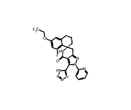 O=C1N[C@@]2(CCCc3cc(OCC(F)(F)F)cc(F)c32)Cc2nn(-c3ccccn3)c(-c3nnn[nH]3)c21